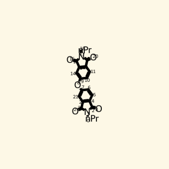 CCCN1C(=O)c2ccc(Oc3ccc4c(c3)C(=O)N(CCC)C4=O)cc2C1=O